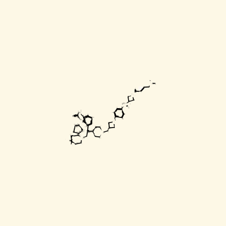 CN(C)C/C=C/C(=O)N1CC(S(=O)(=O)c2ccc(N3CC(CN4CCC(C(CN5CCC(C)(O)CC5)(c5cccc(F)c5)[C@H]5CCC[C@@H]5NC(=O)O)CC4)C3)cc2)C1